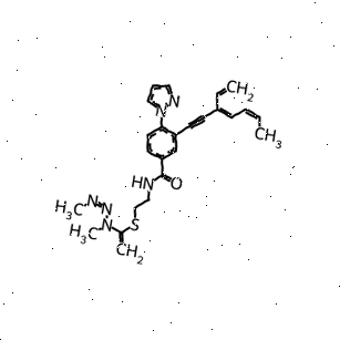 C=C/C(C#Cc1cc(C(=O)NCCSC(=C)N(C)/N=N\C)ccc1-n1cccn1)=C\C=C/C